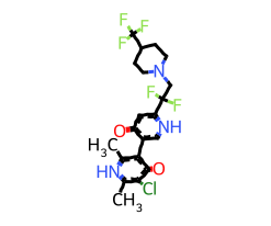 Cc1[nH]c(C)c(-c2c[nH]c(C(F)(F)CN3CCC(C(F)(F)F)CC3)cc2=O)c(=O)c1Cl